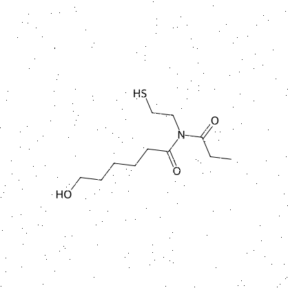 CCC(=O)N(CCS)C(=O)CCCCCO